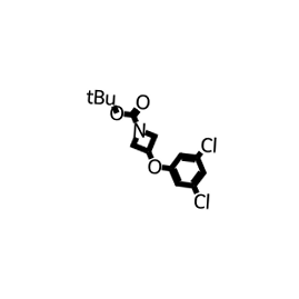 CC(C)(C)OC(=O)N1CC(Oc2cc(Cl)cc(Cl)c2)C1